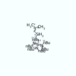 CCCCN(CCCC)[Si](CC[SiH2]C=C(C)C)(N(CCCC)CCCC)N(CCCC)CCCC